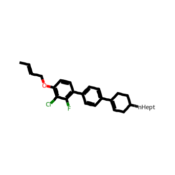 C/C=C/COc1ccc(-c2ccc(C3=CCC(CCCCCCC)CC3)cc2)c(F)c1Cl